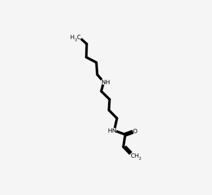 C=CC(=O)NCCCCNCCCCC